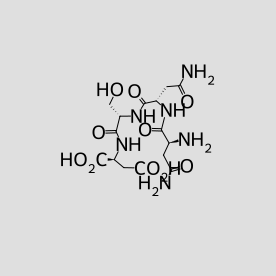 NC(=O)C[C@H](NC(=O)[C@@H](N)CC(N)=O)C(=O)N[C@@H](CO)C(=O)N[C@@H](CC(=O)O)C(=O)O